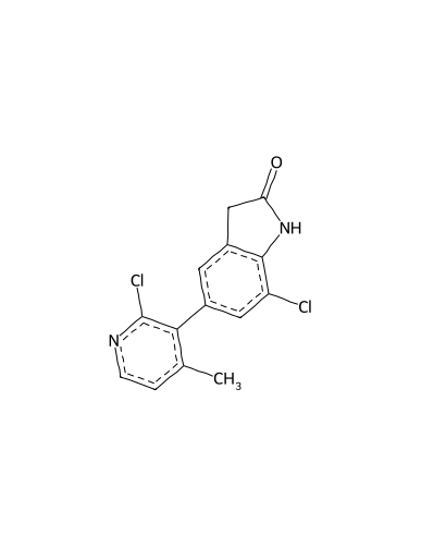 Cc1ccnc(Cl)c1-c1cc(Cl)c2c(c1)CC(=O)N2